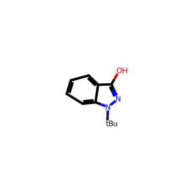 CC(C)(C)n1nc(O)c2ccccc21